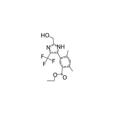 CCOC(=O)c1cc(-c2[nH]c(CO)nc2C(F)(F)F)c(C)cc1C